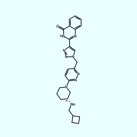 O=c1[nH]c(-c2cn(Cc3ccc(N4CCC[C@@H](NCC5CCC5)C4)nn3)nn2)nc2ccccc12